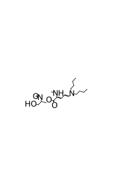 CCCCN(/C=C/C=C(\NC)C(=O)OCC(CO)N=O)CCCC